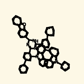 c1ccc(-c2cccc(C3=NC(c4ccc(-c5ccccc5)cc4-n4c5ccccc5c5c(-c6cccc7c6c6ccccc6n7-c6ccccc6)cccc54)=NC(c4ccc5c(c4)oc4ccccc45)N3)c2)cc1